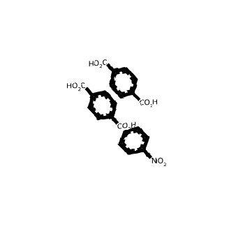 O=C(O)c1ccc(C(=O)O)cc1.O=C(O)c1ccc(C(=O)O)cc1.O=[N+]([O-])c1ccccc1